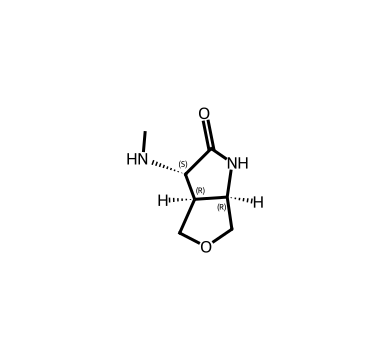 CN[C@@H]1C(=O)N[C@H]2COC[C@H]21